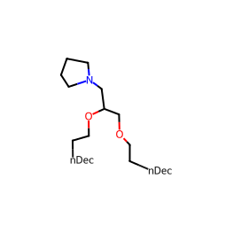 CCCCCCCCCCCCOCC(CN1CCCC1)OCCCCCCCCCCCC